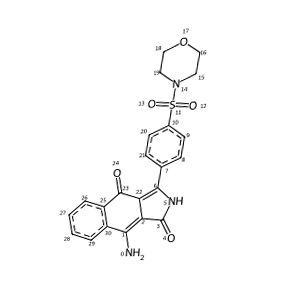 NC1=C2C(=O)NC(c3ccc(S(=O)(=O)N4CCOCC4)cc3)=C2C(=O)c2ccccc21